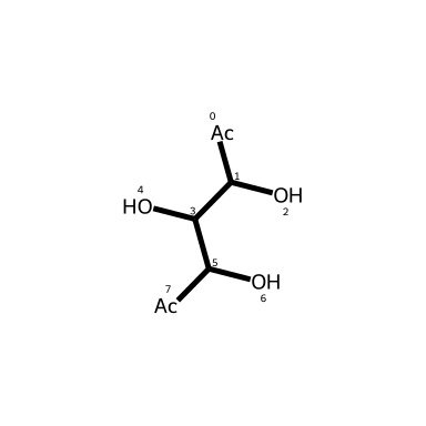 CC(=O)C(O)C(O)C(O)C(C)=O